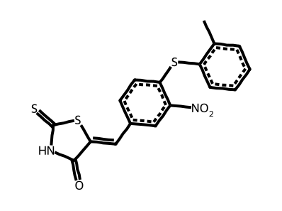 Cc1ccccc1Sc1ccc(/C=C2\SC(=S)NC2=O)cc1[N+](=O)[O-]